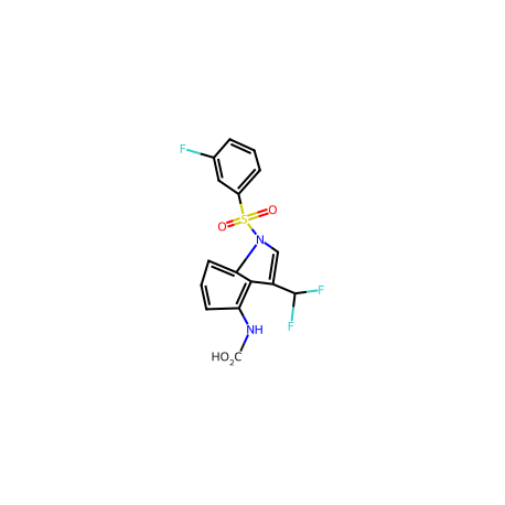 O=C(O)Nc1cccc2c1c(C(F)F)cn2S(=O)(=O)c1cccc(F)c1